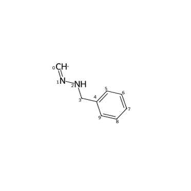 [CH]=NNCc1ccccc1